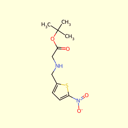 CC(C)(C)OC(=O)CNCc1ccc([N+](=O)[O-])s1